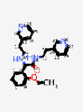 CCOc1ccccc1C(NCCc1cccnc1)C(=O)NCCc1cccnc1